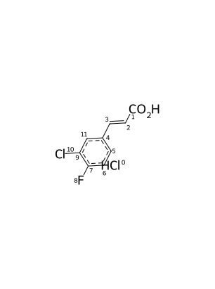 Cl.O=C(O)C=Cc1ccc(F)c(Cl)c1